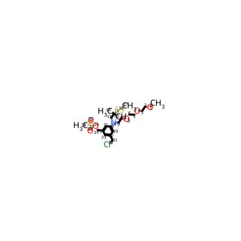 COCCOCCOCCN(CC(C)(C)SSC)c1cc(CCl)cc(COS(C)(=O)=O)c1